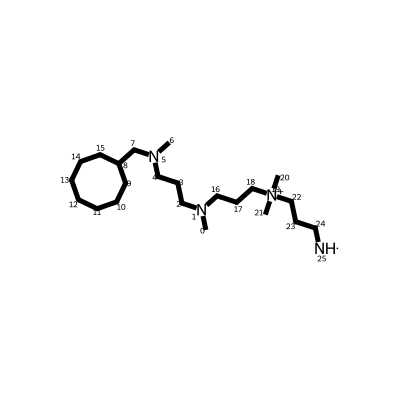 CN(CCCN(C)CC1CCCCCCC1)CCC[N+](C)(C)CCC[NH]